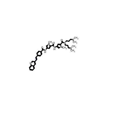 CN(C)CCCN(CCCN(C)C)C(=O)c1cc(NC(=O)c2cc(NC(=O)c3ccc(/C=C/c4cnc5ccccc5c4)cc3)cn2C)cn1C